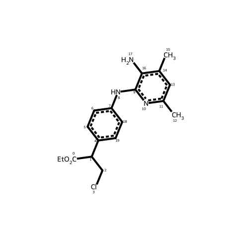 CCOC(=O)C(CCl)c1ccc(Nc2nc(C)cc(C)c2N)cc1